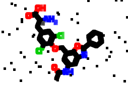 CC(=O)Nc1cc(COc2c(Cl)cc(C[C@H](N)C(=O)O)cc2Cl)c2oc(-c3ccccc3)nc2c1